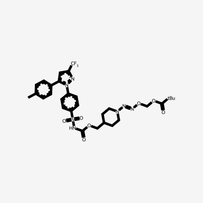 Cc1ccc(-c2cc(C(F)(F)F)nn2-c2ccc(S(=O)(=O)NC(=O)OCC3CCN(N=NOCOC(=O)C(C)(C)C)CC3)cc2)cc1